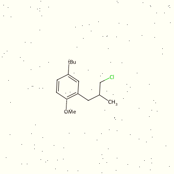 COc1ccc(C(C)(C)C)cc1CC(C)CCl